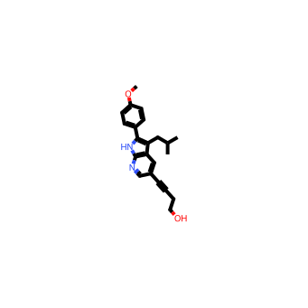 COc1ccc(-c2[nH]c3ncc(C#CCCO)cc3c2CC(C)C)cc1